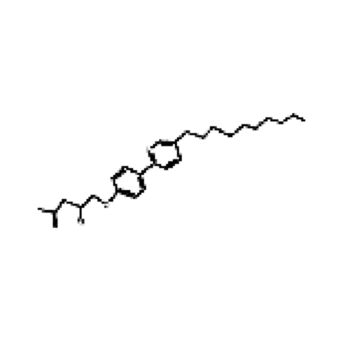 CCCCCCCCCCc1ccc(-c2ccc(OCC(Cl)CC(C)C)cc2)nc1